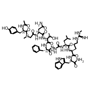 CNC(=N)NCCC[C@H](NC(=O)[C@H](CC(C)C)NC(=O)NNC(=O)[C@H](Cc1ccccc1)NC(=O)[C@@H](NC(=O)[C@H](CC(N)=O)NC(=O)CN(C)C(=O)[C@@H](Cc1ccc(O)cc1)NC(C)=O)[C@@H](C)O)C(=O)N[C@@H](Cc1c[nH]c2ccccc12)C(N)=O